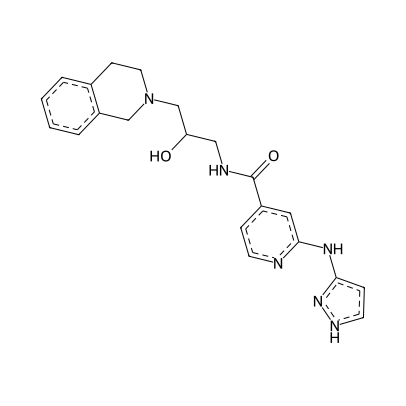 O=C(NCC(O)CN1CCc2ccccc2C1)c1ccnc(Nc2cc[nH]n2)c1